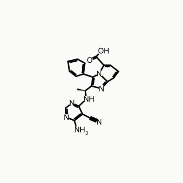 C[C@H](Nc1ncnc(N)c1C#N)c1nc2cccc(C(=O)O)n2c1-c1ccccc1